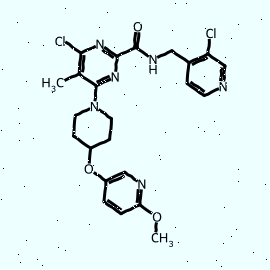 COc1ccc(OC2CCN(c3nc(C(=O)NCc4ccncc4Cl)nc(Cl)c3C)CC2)cn1